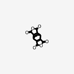 O=C1OC(=O)C2=C1C1C=CC2C2C(=O)OC(=O)C12